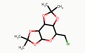 CC1(C)OC2OC(CBr)C3OC(C)(C)OC3C2O1